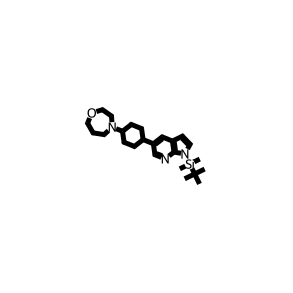 CC(C)(C)[Si](C)(C)n1ccc2cc(C3CCC(N4CCCOCC4)CC3)cnc21